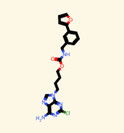 Nc1nc(Cl)nc2c1ncn2CCCCOC(=O)NCc1cccc(-c2ccco2)c1